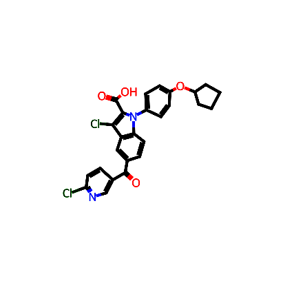 O=C(c1ccc(Cl)nc1)c1ccc2c(c1)c(Cl)c(C(=O)O)n2-c1ccc(OC2CCCC2)cc1